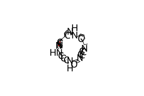 CC1c2cccc(c2)Nc2cc(ccn2)-c2cnc(nc2)NCCCNC(=O)C2(CC2)N2CCN1CC2